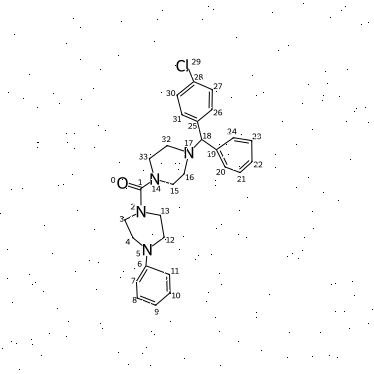 O=C(N1CCN(c2ccccc2)CC1)N1CCN(C(c2ccccc2)c2ccc(Cl)cc2)CC1